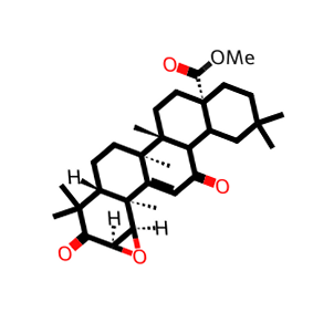 COC(=O)[C@]12CCC(C)(C)CC1C1C(=O)C=C3[C@@]4(C)[C@H]5O[C@H]5C(=O)C(C)(C)[C@@H]4CC[C@@]3(C)[C@]1(C)CC2